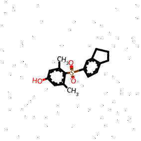 Cc1cc(O)cc(C)c1S(=O)(=O)c1ccc2c(c1)CCC2